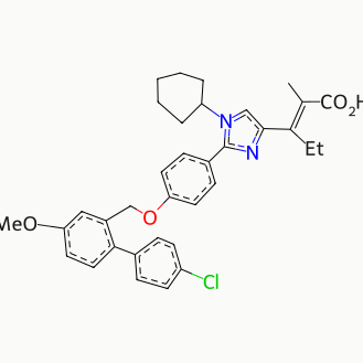 CCC(=C(C)C(=O)O)c1cn(C2CCCCC2)c(-c2ccc(OCc3cc(OC)ccc3-c3ccc(Cl)cc3)cc2)n1